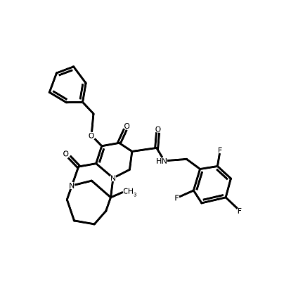 CC12CCCCN(C1)C(=O)C1=C(OCc3ccccc3)C(=O)C(C(=O)NCc3c(F)cc(F)cc3F)CN12